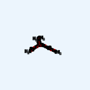 CCCCCCCCCC(=O)OCCCCCCCCOc1ccc(OCCCCCCCCOC(=O)CCC)c(COC(=O)CCCN(C)C)c1